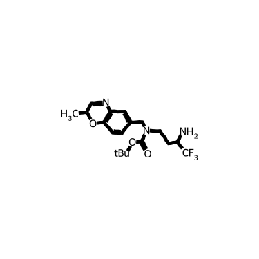 CC1C=Nc2cc(CN(CCC(N)C(F)(F)F)C(=O)OC(C)(C)C)ccc2O1